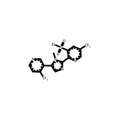 CCS(=O)(=O)c1cc(C(F)(F)F)cnc1-c1ncc(-c2cnccc2C(F)(F)F)n1C